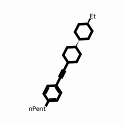 CCCCCc1ccc(C#CC2CCC([C@H]3CC[C@H](CC)CC3)CC2)cc1